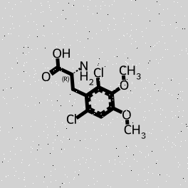 COc1cc(Cl)c(C[C@@H](N)C(=O)O)c(Cl)c1OC